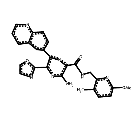 COc1ccc(C)c(CNC(=O)c2nc(-c3ccc4ncccc4c3)c(-c3ncco3)nc2N)n1